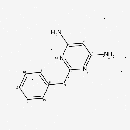 Nc1cc(N)nc(Cc2ccccc2)n1